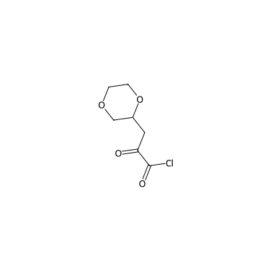 O=C(Cl)C(=O)CC1COCCO1